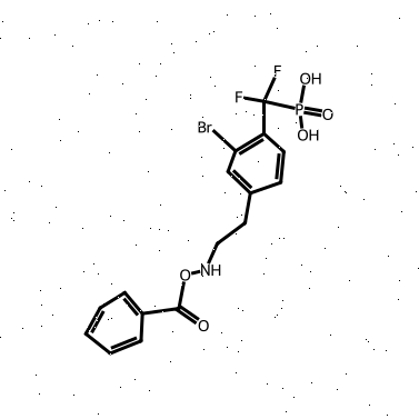 O=C(ONCCc1ccc(C(F)(F)P(=O)(O)O)c(Br)c1)c1ccccc1